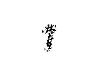 COc1ccc(CN2CCOC(CNc3c(C#N)c(=N)n(C)c(=S)n3C)C2)cc1